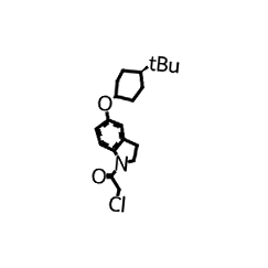 CC(C)(C)[C@H]1CC[C@H](Oc2ccc3c(c2)CCN3C(=O)CCl)CC1